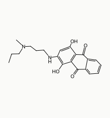 CCCN(C)CCCNc1cc(O)c2c(c1O)C(=O)c1ccccc1C2=O